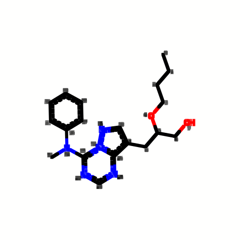 CCCCOC(CO)Cc1cnn2c(N(C)c3ccccc3)ncnc12